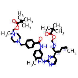 C\C=C/C=C(\C=N\COC(=O)C(C)(C)C)c1ccnc(Nc2cc(NC(=O)c3ccc(CN4CC[N+](C)(COC(=O)C(C)(C)C)CC4)cc3)ccc2C)n1